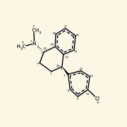 CN(C)[C@H]1CC[C@H](c2ccc(Cl)cc2)c2ccccc21